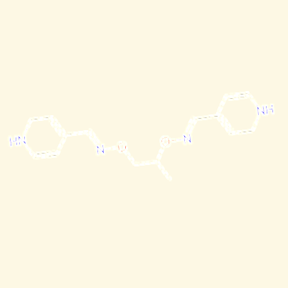 CC(CON=CC1=CCNC=C1)ON=CC1=CCNC=C1